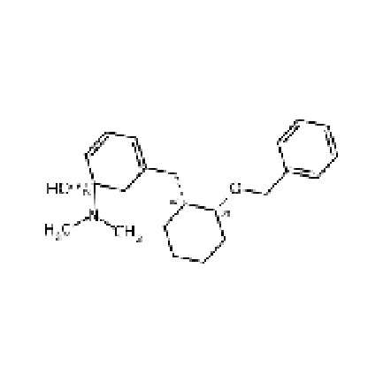 CN(C)[C@@]1(O)C=CC=C(C[C@H]2CCCC[C@H]2OCc2ccccc2)C1